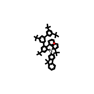 CC(C)(C)c1cc(-c2cc(C(C)(C)C)cc(C(C)(C)C)c2)cc(-c2cc(C(C)(C)C)cc(N(c3ccc4c(c3)C(C)(C)c3ccccc3-4)c3ccccc3C(C)(C)C)c2-c2ccccc2)c1